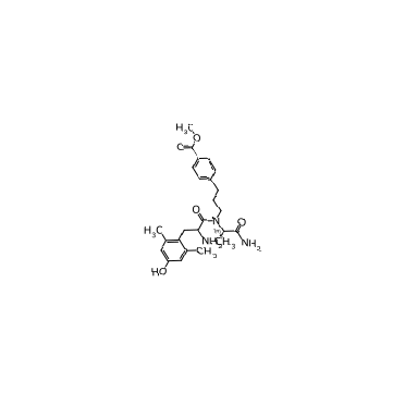 COC(=O)c1ccc(CCCN(C(=O)C(N)Cc2c(C)cc(O)cc2C)[C@H](C)C(N)=O)cc1